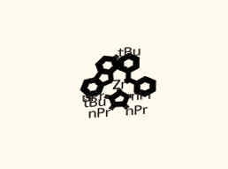 CCCC1=C(CCC)C(CCC)[C]([Zr](=[C](c2ccccc2)c2ccccc2)[CH]2c3cc(C(C)(C)C)ccc3-c3ccc(C(C)(C)C)cc32)=C1CCC